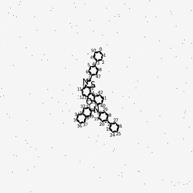 c1ccc(-c2ccc(-c3nc4ccc5oc6c(N(c7ccc(-c8ccccc8)cc7)c7ccc8ccccc8c7)cccc6c5c4s3)cc2)cc1